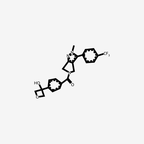 Cn1nc2c(c1-c1ccc(C(F)(F)F)cc1)CN(C(=O)c1ccc(C3(O)COC3)cc1)C2